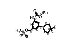 CC(C)(C)OC(=O)Nc1cc(N2CCC(F)(F)CC2)cc(COS(C)(=O)=O)n1